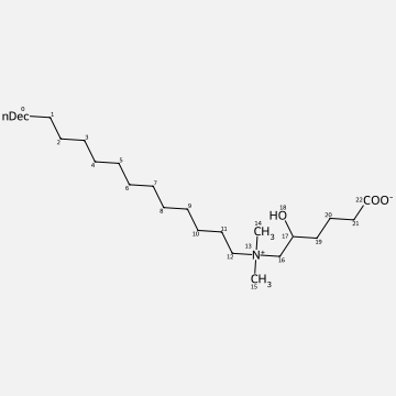 CCCCCCCCCCCCCCCCCCCCCC[N+](C)(C)CC(O)CCCC(=O)[O-]